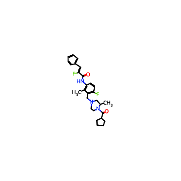 Cc1c(NC(=O)C(F)=Cc2ccccc2)ccc(F)c1CN1CCN(C(=O)C2CCCC2)C(C)C1